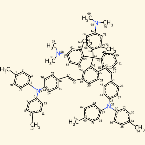 Cc1ccc(N(c2ccc(C)cc2)c2ccc(C=Cc3ccc(C=Cc4ccc(N(c5ccc(C)cc5)c5ccc(C)cc5)cc4)c(C(c4ccccc4)(c4ccc(N(C)C)cc4C)c4ccc(N(C)C)cc4C)c3)cc2)cc1